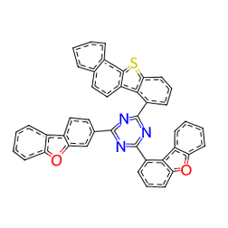 c1ccc2c(c1)ccc1c2sc2cccc(-c3nc(-c4ccc5c(c4)oc4ccccc45)nc(-c4cccc5oc6ccccc6c45)n3)c21